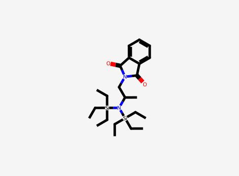 CC[Si](CC)(CC)N(C(C)CN1C(=O)c2ccccc2C1=O)[Si](CC)(CC)CC